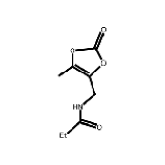 CCC(=O)NCc1oc(=O)oc1C